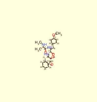 CN[C@@H](C)C(=O)N[C@@H](Cc1ccc(OC)cc1)C(=O)N[C@@H](Cc1ccccc1)C(=O)[C@H]1CO1